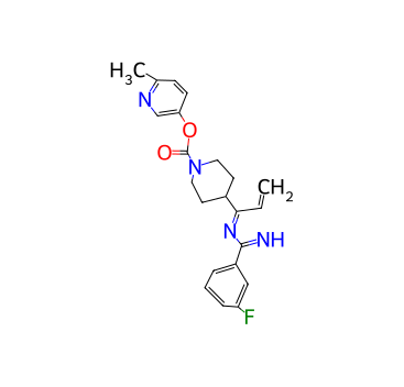 C=C/C(=N\C(=N)c1cccc(F)c1)C1CCN(C(=O)Oc2ccc(C)nc2)CC1